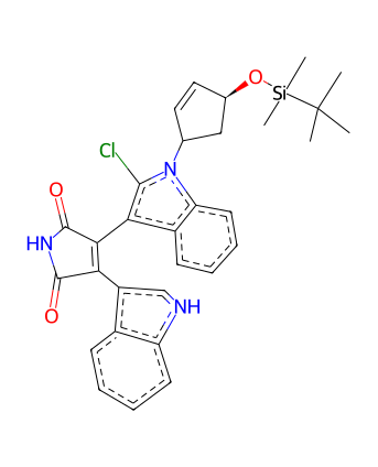 CC(C)(C)[Si](C)(C)O[C@@H]1C=CC(n2c(Cl)c(C3=C(c4c[nH]c5ccccc45)C(=O)NC3=O)c3ccccc32)C1